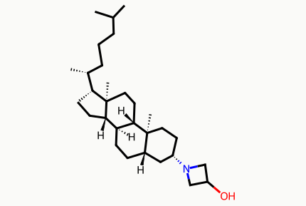 CC(C)CCC[C@@H](C)[C@H]1CC[C@H]2[C@@H]3CC[C@H]4C[C@@H](N5CC(O)C5)CC[C@]4(C)[C@H]3CC[C@]12C